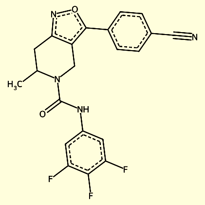 CC1Cc2noc(-c3ccc(C#N)cc3)c2CN1C(=O)Nc1cc(F)c(F)c(F)c1